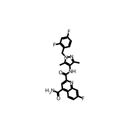 Cc1nn(Cc2ccc(F)cc2F)c(C)c1NC(=O)c1cc(C(N)=O)c2ccc(F)cc2n1